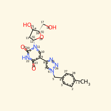 Cc1ccc(Cn2cc(-c3cn([C@@H]4CC(O)[C@H](CO)O4)c(=O)[nH]c3=O)nn2)cc1